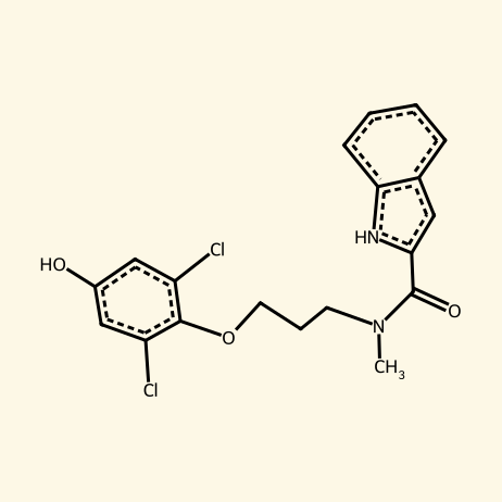 CN(CCCOc1c(Cl)cc(O)cc1Cl)C(=O)c1cc2ccccc2[nH]1